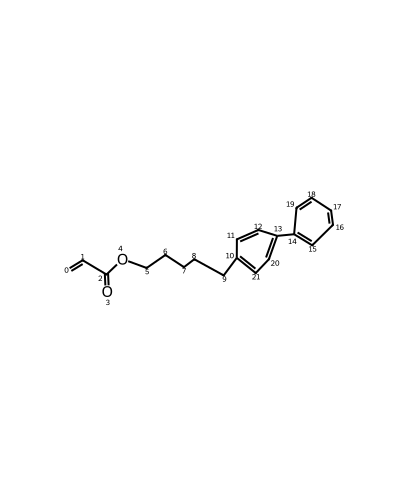 C=CC(=O)OCCCCCc1ccc(-c2ccccc2)cc1